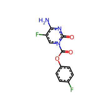 Nc1nc(=O)n(C(=O)Oc2ccc(F)cc2)cc1F